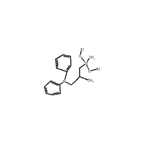 CCO[Si](C)(CC(C)CN(c1ccccc1)c1ccccc1)OCC